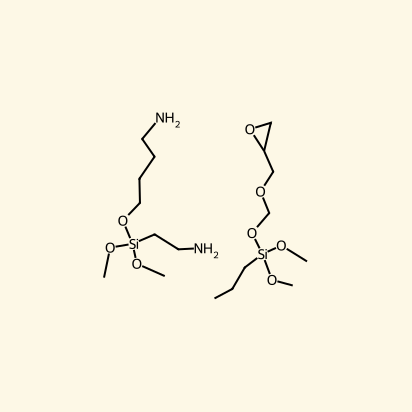 CCC[Si](OC)(OC)OCOCC1CO1.CO[Si](CCN)(OC)OCCCCN